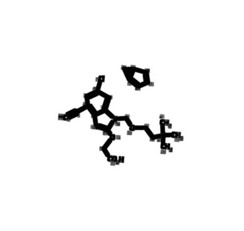 C#Cc1cc(Cl)cc2c1nc(OCC(=O)O)n2COCC[Si](C)(C)C.c1cc2cc-2c1